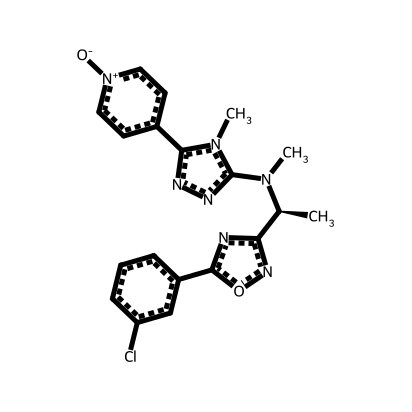 C[C@@H](c1noc(-c2cccc(Cl)c2)n1)N(C)c1nnc(-c2cc[n+]([O-])cc2)n1C